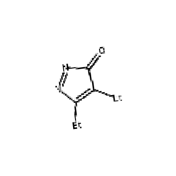 CCC1=C(CC)C(=O)N=N1